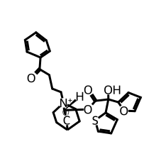 O=C(CCC[N+]12CCC(CC1)C[C@H]2OC(=O)C(O)(c1ccco1)c1cccs1)c1ccccc1